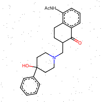 CC(=O)Nc1cccc2c1CCC(CN1CCC(O)(c3ccccc3)CC1)C2=O